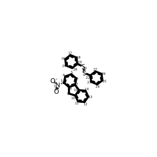 O=[N+]([O-])c1cccc2c1Cc1ccccc1-2.c1ccc(SSc2ccccc2)cc1